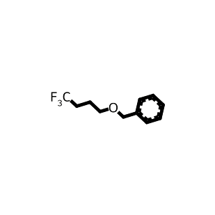 FC(F)(F)CCCOCc1ccccc1